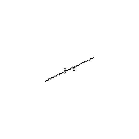 CCCCCCCCCCCCCCOC(=O)CC=CCC(=O)OCCCCCCCCCCCCCC